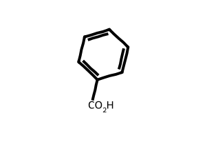 O=[14C](O)c1ccccc1